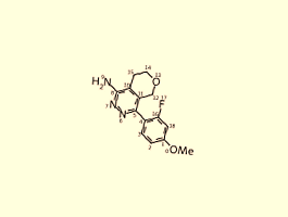 COc1ccc(-c2nnc(N)c3c2COCC3)c(F)c1